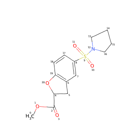 COC(=O)C1Cc2cc(S(=O)(=O)N3CCCC3)ccc2O1